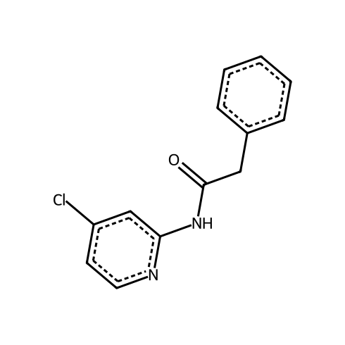 O=C(Cc1ccccc1)Nc1cc(Cl)ccn1